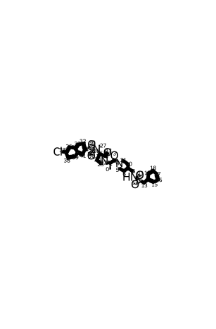 C[C@H](C(=O)N1CCC(CNS(=O)(=O)Cc2ccccc2)CC1)N1CC[C@H](N(C)S(=O)(=O)c2ccc3cc(Cl)ccc3c2)C1=O